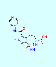 CC(O)[C@H]1CCc2c(cn(C)c2C(=O)Nc2ccncc2)S(=N)(=O)N1